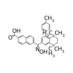 Cc1ccc(-c2cc(/C(=N\O)c3ccc4cc(C(=O)O)ccc4c3)cc3c2C(C)(C)CCC3(C)C)cc1